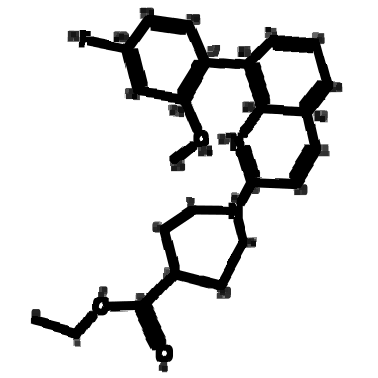 CCOC(=O)C1CCN(c2ccc3cccc(-c4ccc(F)cc4OC)c3n2)CC1